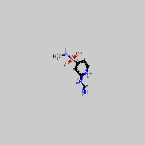 CNS(=O)(=O)c1cc[nH]/c(=N\C=N)c1